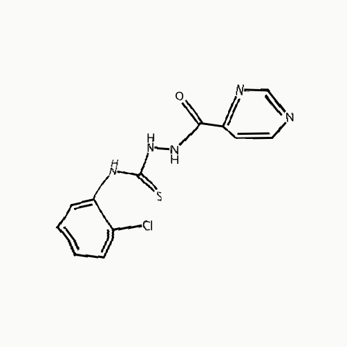 O=C(NNC(=S)Nc1ccccc1Cl)c1ccncn1